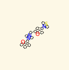 c1cc(-c2ccc3c4c(oc3c2)-c2ccccc2C42c3ccccc3-c3cc(N4c5ccccc5Sc5ccccc54)ccc32)cc(N2c3ccccc3N(c3ccc4c(c3)-c3oc5ccccc5c3C43c4ccccc4-c4ccccc43)c3ccccc32)c1